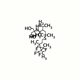 BC(C)C(CC(C)(C)SCCC1(C)CC12C(C)(F)C2(C)C(F)(F)F)C(=O)NC(CO)(CO)CO